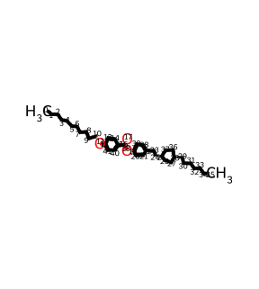 CCCCCCCCCCCOc1ccc(C(=O)Oc2ccc(CC[C@H]3CC[C@H](CCCCCCC)CC3)cc2)cc1